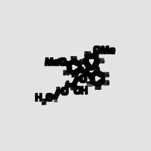 C=CCOC[C@@H](O)COC(c1ccccc1)(c1ccc(OC)cc1)c1ccc(OC)cc1